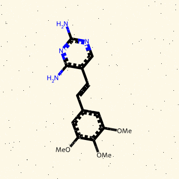 COc1cc(C=Cc2cnc(N)nc2N)cc(OC)c1OC